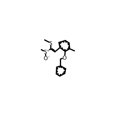 CS/C(=C\c1cccc(C)c1OCc1ccccc1)[S+](C)[O-]